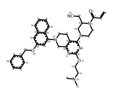 C=CC(=O)N1CCN(c2nc(OCCN(C)C)nc3c2CCN(c2cc(OCc4ccccc4)cc4ccccc24)C3)CC1CC#N